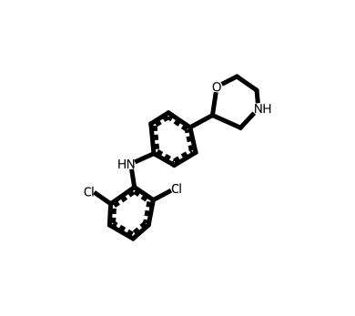 Clc1cccc(Cl)c1Nc1ccc(C2CNCCO2)cc1